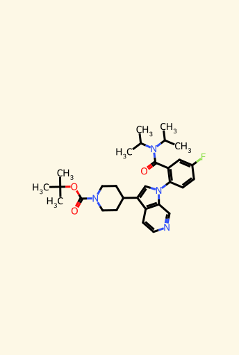 CC(C)N(C(=O)c1cc(F)ccc1-n1cc(C2CCN(C(=O)OC(C)(C)C)CC2)c2ccncc21)C(C)C